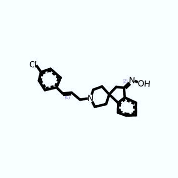 O/N=C1/CC2(CCN(C/C=C/c3ccc(Cl)cc3)CC2)c2ccccc21